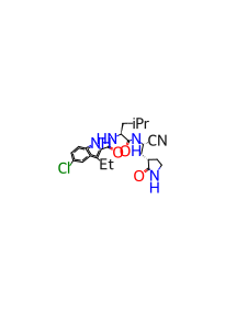 CCc1c(C(=O)N[C@@H](CC(C)C)C(=O)N[C@H](C#N)C[C@@H]2CCNC2=O)[nH]c2ccc(Cl)cc12